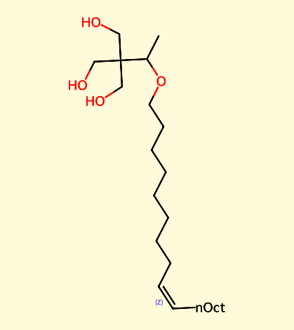 CCCCCCCC/C=C\CCCCCCCCOC(C)C(CO)(CO)CO